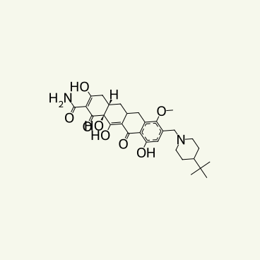 COc1c(CN2CCC(C(C)(C)C)CC2)cc(O)c2c1CC1C[C@H]3CC(O)=C(C(N)=O)C(=O)[C@@]3(O)C(O)=C1C2=O